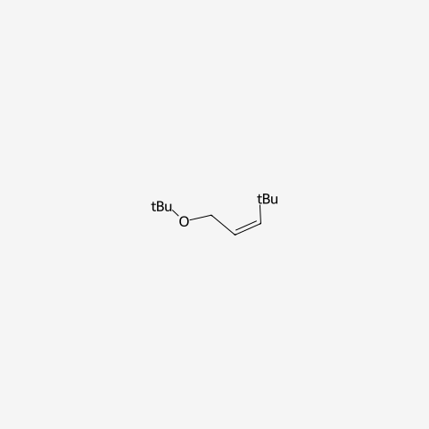 CC(C)(C)/C=C\COC(C)(C)C